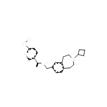 CCNc1ccc(C(=O)NCc2ccc3c(c2)CCN(C2CCC2)CC3)cn1